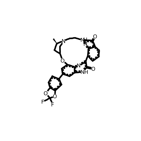 C[C@@H]1CC2CN1CCn1[nH]c3c(cccc3c1=O)-c1nc3c(cc(-c4ccc5c(c4)OC(F)(F)O5)cc3[nH]c1=O)O2